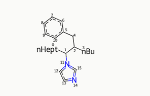 CCCCCCCC(C(CCCC)Cc1ccccc1)n1ccnc1